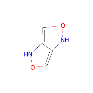 C1=C2NOC=C2NO1